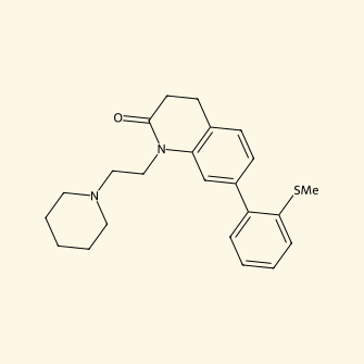 CSc1ccccc1-c1ccc2c(c1)N(CCN1CCCCC1)C(=O)CC2